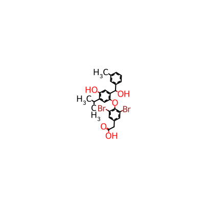 Cc1cccc(C(O)c2cc(O)c(C(C)C)cc2Oc2c(Br)cc(CC(=O)O)cc2Br)c1